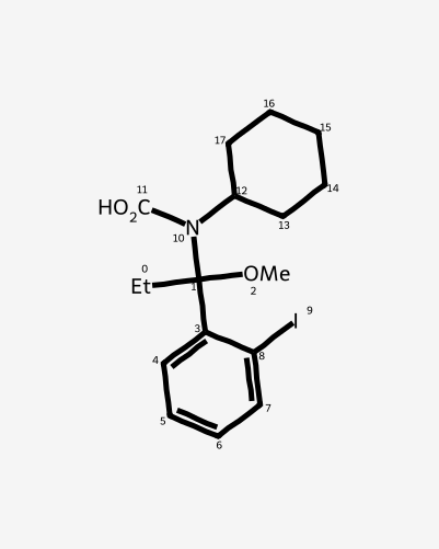 CCC(OC)(c1ccccc1I)N(C(=O)O)C1CCCCC1